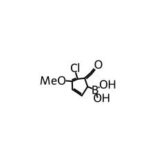 COC1=C(Cl)C(=C=O)C(B(O)O)C=C1